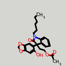 CCCCCCN1C(=O)C(CCOC(C)=O)(c2cc3c(cc2O)OCO3)c2ccccc21